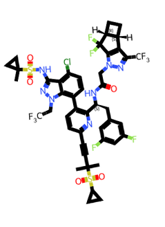 CC1(S(=O)(=O)Nc2nn(CC(F)(F)F)c3c(-c4ccc(C#CC(C)(C)S(=O)(=O)C5CC5)nc4[C@H](Cc4cc(F)cc(F)c4)NC(=O)Cn4nc(C(F)(F)F)c5c4C(F)(F)[C@@H]4CC[C@H]54)ccc(Cl)c23)CC1